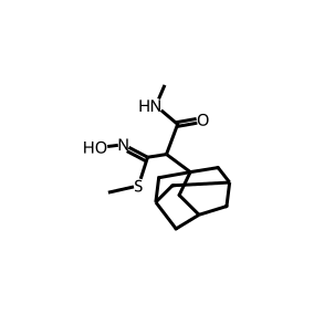 CNC(=O)C(C(=NO)SC)C12CC3CC(CC(C3)C1)C2